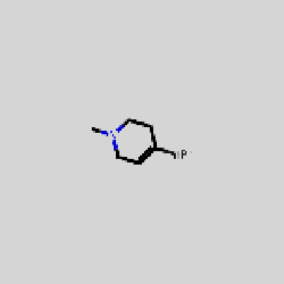 CCCC1=CCN(C)CC1